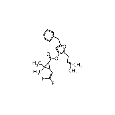 CC(C)=CCc1oc(Cc2ccccc2)cc1OC(=O)C1C(C=C(F)F)C1(C)C